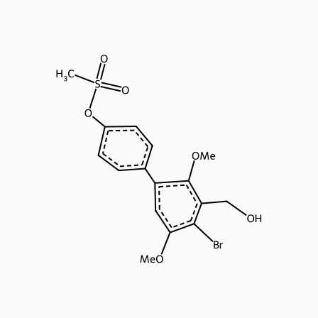 COc1cc(-c2ccc(OS(C)(=O)=O)cc2)c(OC)c(CO)c1Br